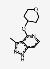 Cc1n[nH]c2ccnc(OC3CCOCC3)c12